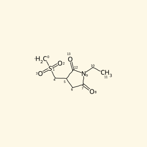 [CH2]S(=O)(=O)CC1CC(=O)N(CC)C1=O